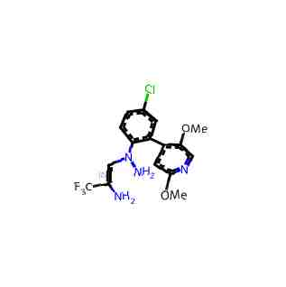 COc1cc(-c2cc(Cl)ccc2N(N)/C=C(\N)C(F)(F)F)c(OC)cn1